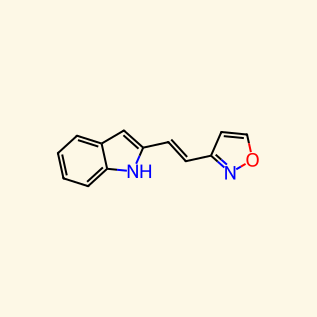 C(=C\c1cc2ccccc2[nH]1)/c1ccon1